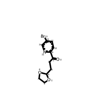 O=C(CCC1OCCO1)c1ccc(Br)cn1